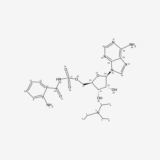 CCN(CC)CC.Nc1ccccc1C(=O)NS(=O)(=O)OC[C@H]1O[C@@H](n2cnc3c(N)ncnc32)[C@H](O)[C@@H]1O